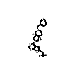 FC(F)(F)Cc1cc2c(N3C[C@H]4CCN(Cc5cccnc5)C[C@H]4C3)ncnc2s1